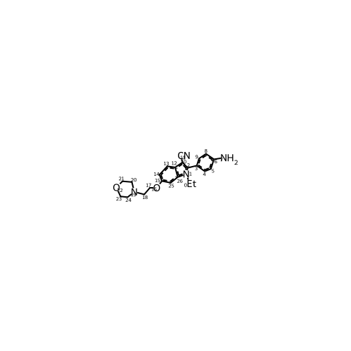 CCn1c(-c2ccc(N)cc2)c(C#N)c2ccc(OCCN3CCOCC3)cc21